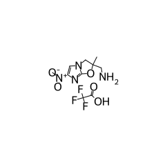 CC1(CN)Cn2cc([N+](=O)[O-])nc2O1.O=C(O)C(F)(F)F